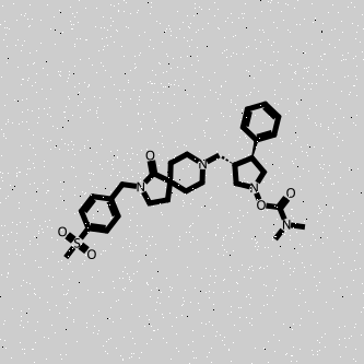 CN(C)C(=O)ON1C[C@H](CN2CCC3(CC2)CCN(Cc2ccc(S(C)(=O)=O)cc2)C3=O)[C@@H](c2ccccc2)C1